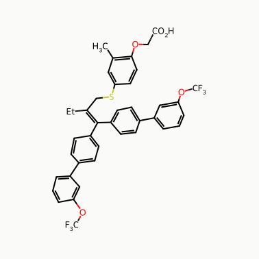 CCC(CSc1ccc(OCC(=O)O)c(C)c1)=C(c1ccc(-c2cccc(OC(F)(F)F)c2)cc1)c1ccc(-c2cccc(OC(F)(F)F)c2)cc1